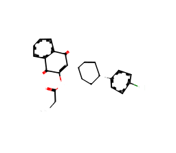 CCCCCCCCCCCC(=O)OC1=C([C@H]2CC[C@H](c3ccc(Cl)cc3)CC2)C(=O)c2ccccc2C1=O